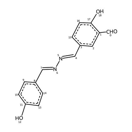 O=Cc1cc(/C=N/N=C/c2ccc(O)cc2)ccc1O